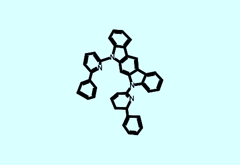 C1=CC(n2c3ccccc3c3cc4c5ccccc5n(-c5cccc(-c6ccccc6)n5)c4cc32)=NC(c2ccccc2)C1